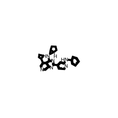 c1ccc(Nc2cc(-c3nc(NC4C5CCC[C@H]54)c4c(C5CCC5)cncc4n3)ccn2)cc1